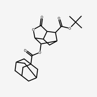 CC(C)(C)OC(=O)C1C2CC3C(OC(=O)C31)C2OC(=O)C12CC3CC(CC(C3)C1)C2